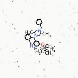 C[C@@H]1CN(C(c2cccc(O[Si](C)(C)C(C)(C)C)c2)c2ccccc2C#N)[C@@H](C)CN1Cc1ccccc1